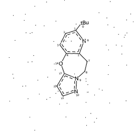 CC(C)(C)c1ccc2c(n1)CCn1nccc1O2